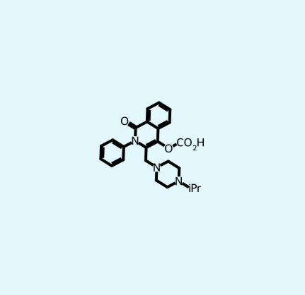 CC(C)N1CCN(Cc2c(OC(=O)O)c3ccccc3c(=O)n2-c2ccccc2)CC1